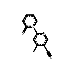 Cc1cc(-n2ccccc2=O)ncc1C#N